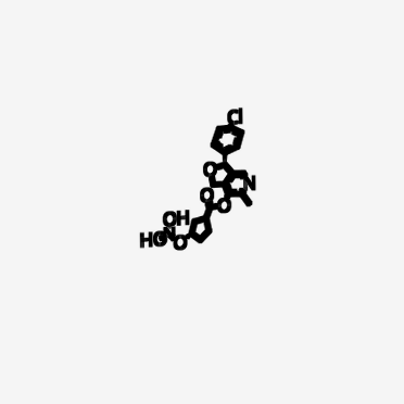 Cc1ncc2c(c1OC(=O)C1CC[C@@H](ON(O)O)C1)CO[C@H]2c1ccc(Cl)cc1